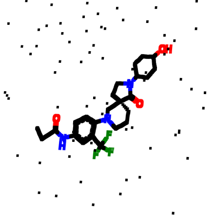 CCC(=O)Nc1ccc(N2CCC[C@@]3(CCN(C4CCC(O)CC4)C3=O)C2)c(C(F)(F)F)c1